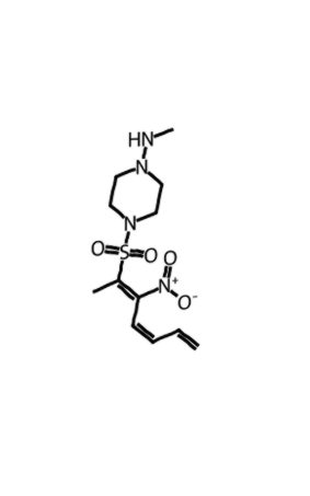 C=C/C=C\C(=C(/C)S(=O)(=O)N1CCN(NC)CC1)[N+](=O)[O-]